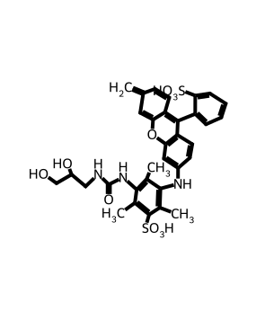 C=c1ccc2c(c1)Oc1cc(Nc3c(C)c(NC(=O)NCC(O)CO)c(C)c(S(=O)(=O)O)c3C)ccc1C=2c1ccccc1S(=O)(=O)O